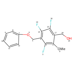 COc1c(F)c(COc2ccccc2)c(F)c(F)c1CO